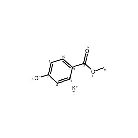 COC(=O)c1ccc([O-])cc1.[K+]